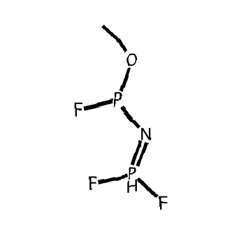 COP(F)N=[PH](F)F